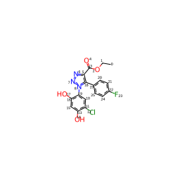 CCOC(=O)c1nnn(-c2cc(Cl)c(O)cc2O)c1-c1ccc(F)cc1